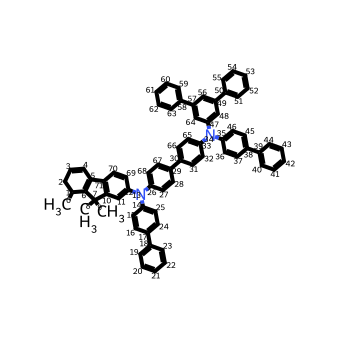 CC1CC=CC2=C1C(C)(C)c1cc(N(c3ccc(-c4ccccc4)cc3)c3ccc(-c4ccc(N(c5ccc(-c6ccccc6)cc5)c5cc(-c6ccccc6)cc(-c6ccccc6)c5)cc4)cc3)ccc12